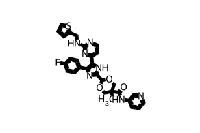 CC1(C(=O)Nc2cccnc2)COC(c2nc(-c3ccc(F)cc3)c(-c3ccnc(NCc4cccs4)n3)[nH]2)OC1